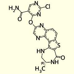 C[C@@H]1CNc2c(sc3ccc4nc(Oc5nc(Cl)ncc5C(N)=O)cnc4c23)C(=O)N1